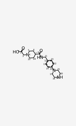 O=C(O)CN1CCC(C(=O)NCc2ccc(N3CCNCC3)cc2)CC1